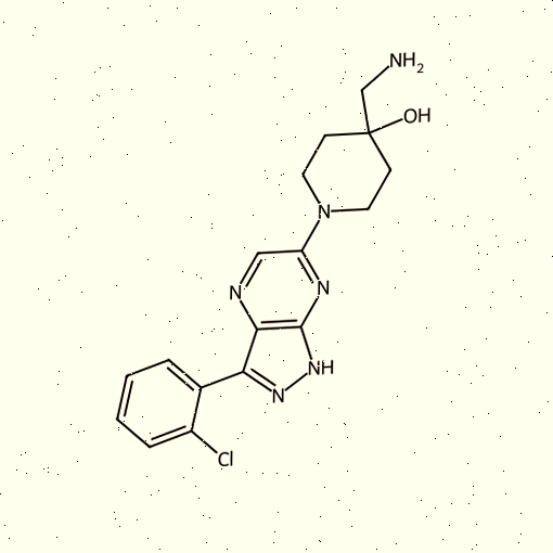 NCC1(O)CCN(c2cnc3c(-c4ccccc4Cl)n[nH]c3n2)CC1